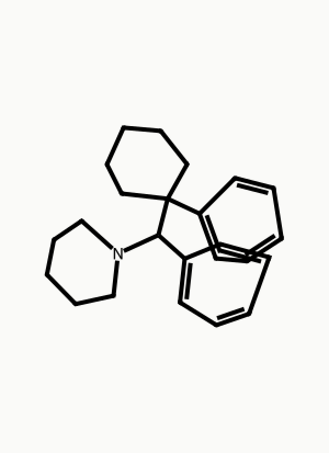 c1ccc(C(N2CCCCC2)C2(c3ccccc3)CCCCC2)cc1